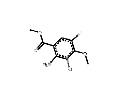 COC(=O)c1cc(Cl)c(OC)c(Cl)c1N